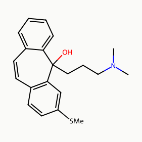 CSc1ccc2c(c1)C(O)(CCCN(C)C)c1ccccc1C=C2